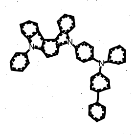 c1ccc(-c2ccc(N(c3ccccc3)c3ccc(-n4c5ccccc5c5c6c7ccccc7n(-c7ccccc7)c6ccc54)cc3)cc2)cc1